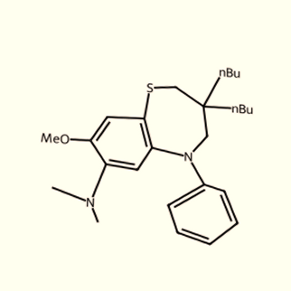 CCCCC1(CCCC)CSc2cc(OC)c(N(C)C)cc2N(c2ccccc2)C1